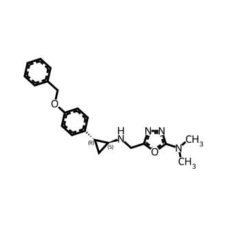 CN(C)c1nnc(CN[C@H]2C[C@@H]2c2ccc(OCc3ccccc3)cc2)o1